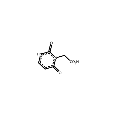 O=C(O)Cn1c(=O)cc[nH]c1=O